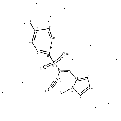 [C-]#[N+]/C(=C\c1cccn1C)S(=O)(=O)c1ccc(C)cc1